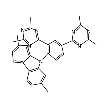 Cc1ccc2c3ccc(C)cc3n(-c3ccc(-c4nc(C)nc(C)n4)cc3-c3nc(C)nc(C)n3)c2c1